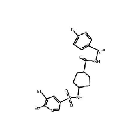 CCc1cc(S(=O)(=O)NC2CCC(C(=O)N[C@H](C)c3ccc(F)cc3)CC2)cnc1CC